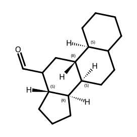 O=CC1C[C@H]2[C@@H](CCC3CCCC[C@@H]32)[C@H]2CCC[C@H]12